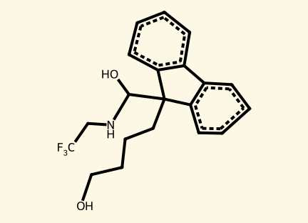 OCCCCC1(C(O)NCC(F)(F)F)c2ccccc2-c2ccccc21